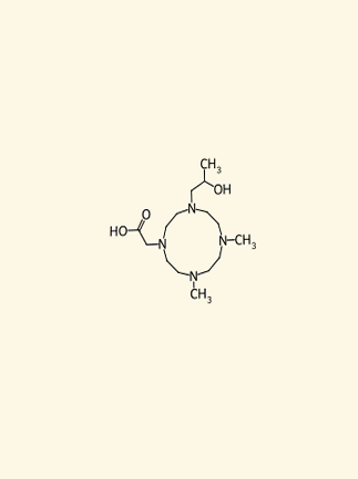 CC(O)CN1CCN(C)CCN(C)CCN(CC(=O)O)CC1